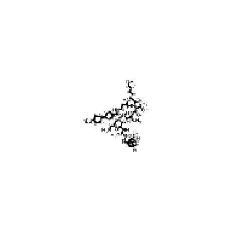 CCCCc1ccc(-c2ccc(C(=O)NCCC(=O)N[C@@H](CCCCN)C(=O)N[C@H](C(=O)N[C@@H](C)C(=O)N[C@@H](CCCCN)C(=O)N[C@@H](C)B3OC4C[C@@H]5C[C@@H](C5(C)C)[C@]4(C)O3)[C@@H](C)O)cc2)cc1